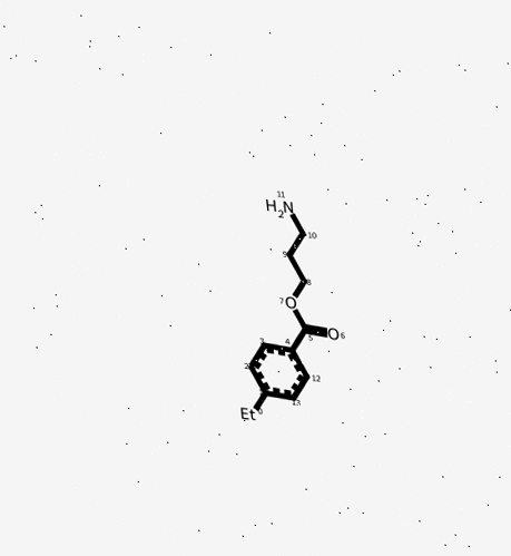 CCc1ccc(C(=O)OCCCN)cc1